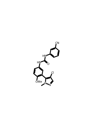 COc1ccc(NC(=O)Nc2cccc(C#N)c2)cc1-c1c(Cl)cnn1C